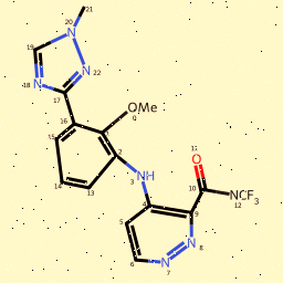 COc1c(Nc2ccnnc2C(=O)NC(F)(F)F)cccc1-c1ncn(C)n1